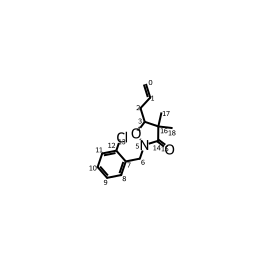 C=CCC1ON(Cc2ccccc2Cl)C(=O)C1(C)C